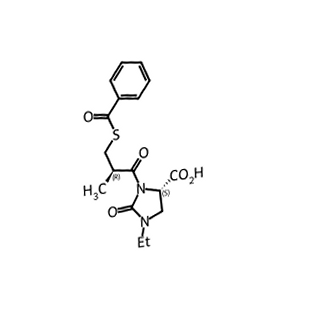 CCN1C[C@@H](C(=O)O)N(C(=O)[C@@H](C)CSC(=O)c2ccccc2)C1=O